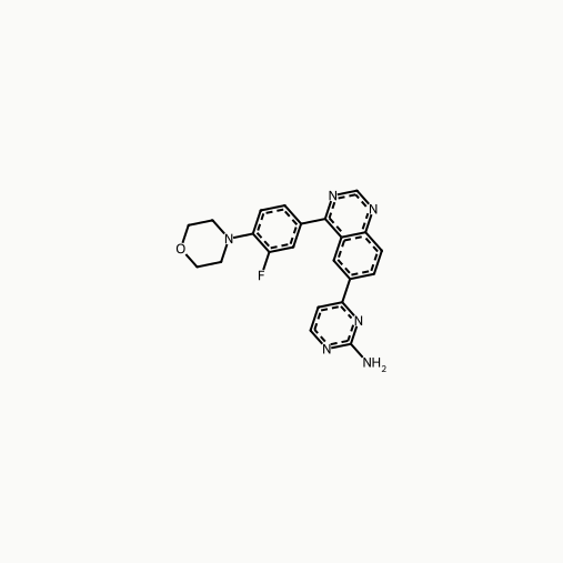 Nc1nccc(-c2ccc3ncnc(-c4ccc(N5CCOCC5)c(F)c4)c3c2)n1